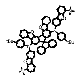 CC(C)(C)c1ccc(N(c2ccc3c(c2)oc2c([Si](C)(C)C)cccc23)c2cc3c(c4oc5c(c24)CCC=C5)-c2c(cc(N(c4ccc(C(C)(C)C)cc4)c4ccc5c(c4)oc4c([Si](C)(C)C)cccc45)c4c2oc2ccccc24)C32c3ccccc3-c3ccccc32)cc1